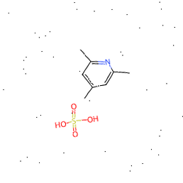 Cc1cc(C)nc(C)c1.O=S(=O)(O)O